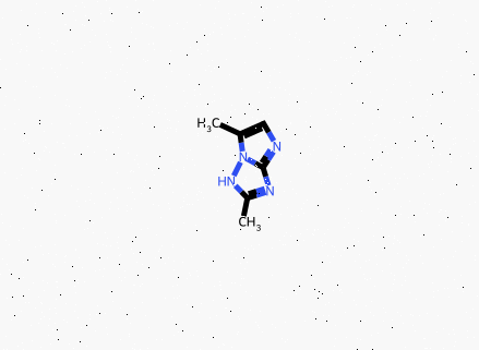 Cc1nc2ncc(C)n2[nH]1